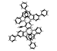 N#Cc1c(-n2c3ccccc3c3ccccc32)c(-n2c3ccc(-c4ccccc4)cc3c3cc(-c4ccccc4)ccc32)nc(-n2c3ccccc3c3ccccc32)c1-n1c2ccc(-c3ccccc3)cc2c2cc(-c3ccccc3)ccc21